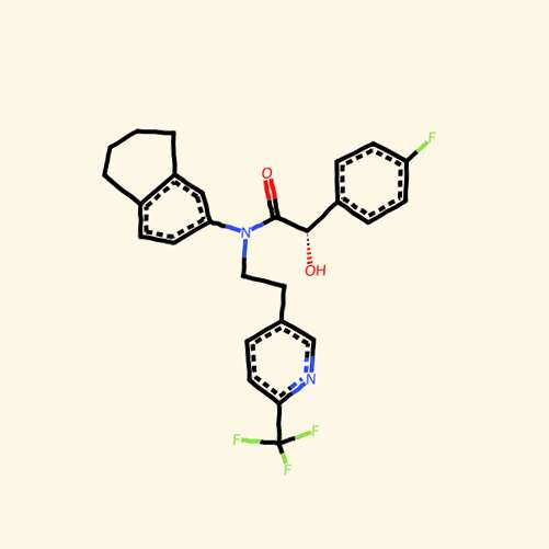 O=C([C@@H](O)c1ccc(F)cc1)N(CCc1ccc(C(F)(F)F)nc1)c1ccc2c(c1)CCCC2